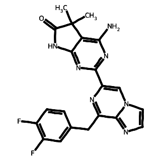 CC1(C)C(=O)Nc2nc(-c3cn4ccnc4c(Cc4ccc(F)c(F)c4)n3)nc(N)c21